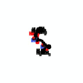 CC(C)(C)CCC(=O)NC(CC(=O)CCCC#Cc1cn(C2CC(O)C(CO[Si](C)(C)C(C)(C)C)O2)c(=O)[nH]c1=O)c1ccccc1